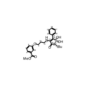 COC(=O)c1cccc(OCCCNC2=C(c3ccccc3)S(O)(O)N(C(C)(C)C)C2=O)c1